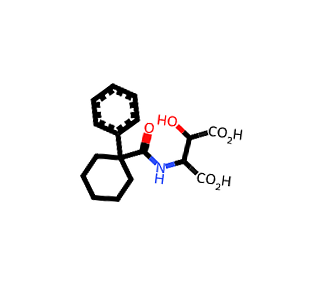 O=C(O)C(O)C(NC(=O)C1(c2ccccc2)CCCCC1)C(=O)O